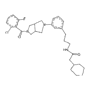 O=C(CC1CCCCC1)NCCCc1cccc(N2CC3CN(C(=O)c4c(F)cccc4Cl)CC3C2)c1